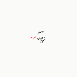 O.[Co].[MgH2].[Mn]